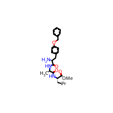 COC(=O)[C@H](CC(C)C)NC(=O)[C@@H](C)NC(=O)[C@@H](N)Cc1ccc(OCc2ccccc2)cc1